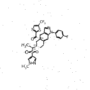 C[C@@H]([C@H]1CCC2=Cc3c(cnn3-c3ccc(F)cc3)C[C@]2(C(=O)c2ncc(C(F)(F)F)s2)C1)S(=O)(=O)c1cnn(C)c1